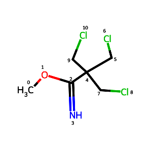 COC(=N)C(CCl)(CCl)CCl